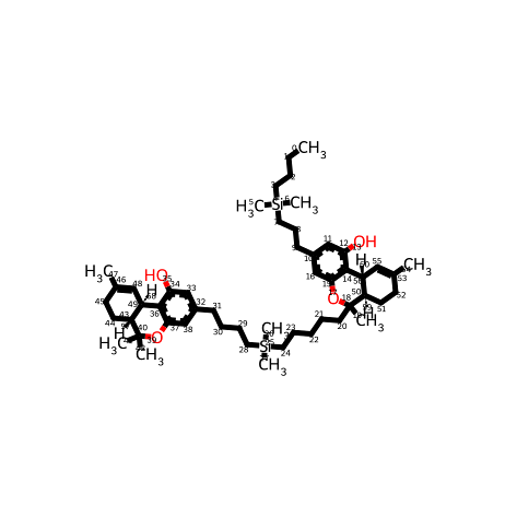 CCCC[Si](C)(C)CCCc1cc(O)c2c(c1)OC(C)(CCCCC[Si](C)(C)CCCCc1cc(O)c3c(c1)OC(C)(C)[C@@H]1CCC(C)=C[C@@H]31)[C@@H]1CCC(C)=C[C@@H]21